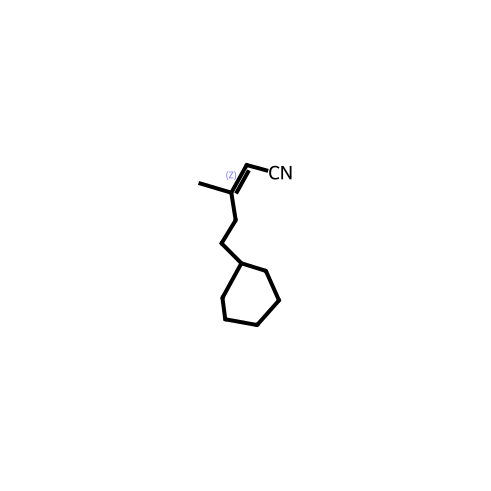 C/C(=C/C#N)CCC1CCCCC1